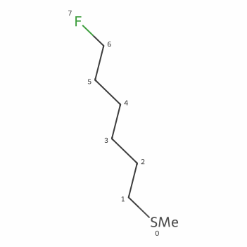 [CH2]SCCCCCCF